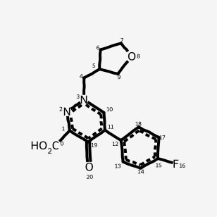 O=C(O)c1nn(CC2CCOC2)cc(-c2ccc(F)cc2)c1=O